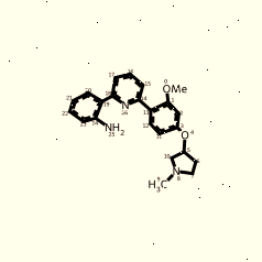 COc1cc(OC2CCN(C)C2)ccc1-c1cccc(-c2ccccc2N)n1